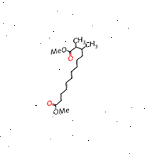 COC(=O)CCCCCCCCCC(C)C(C)C(=O)OC